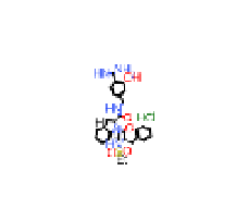 CCS(=O)(=O)N[C@H](Cc1ccccc1)C(=O)N1[C@H](C(=O)NCc2ccc(C(=N)N)c(O)c2)C[C@@H]2CCCC[C@@H]21.Cl